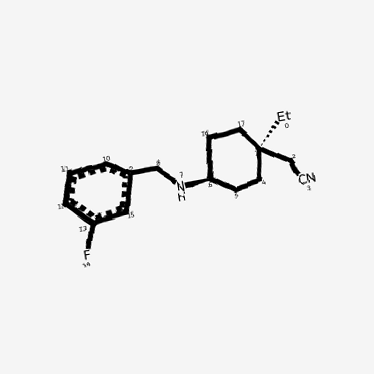 CC[C@]1(CC#N)CC[C@@H](NCc2cccc(F)c2)CC1